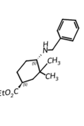 CCOC(=O)[C@H]1CC[C@H](NCc2ccccc2)C(C)(C)C1